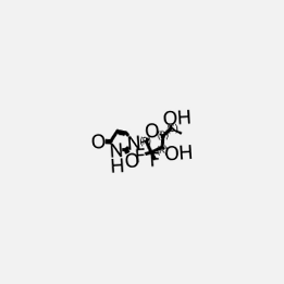 C[C@H](O)[C@H]1O[C@@H](n2ccc(=O)[nH]c2=O)C(F)(F)[C@@H]1O